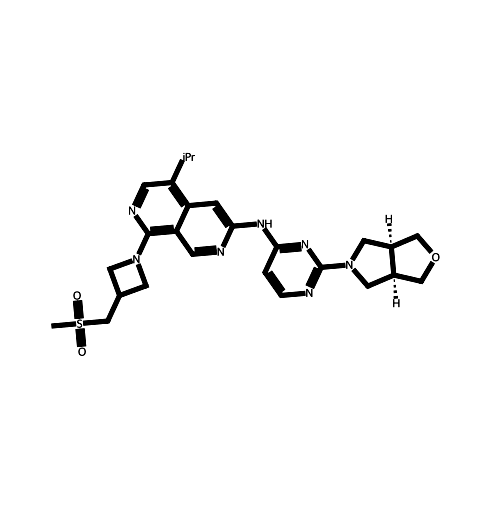 CC(C)c1cnc(N2CC(CS(C)(=O)=O)C2)c2cnc(Nc3ccnc(N4C[C@H]5COC[C@H]5C4)n3)cc12